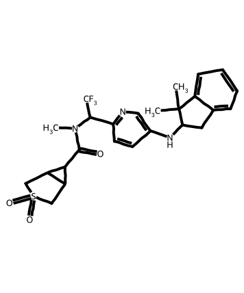 CN(C(=O)C1C2CS(=O)(=O)CC21)C(c1ccc(NC2Cc3ccccc3C2(C)C)cn1)C(F)(F)F